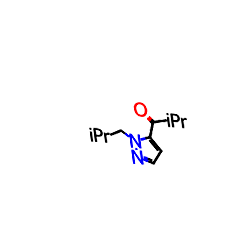 CC(C)Cn1nccc1C(=O)C(C)C